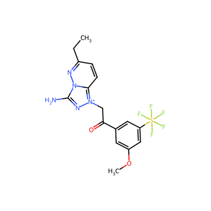 CCc1ccc2n(n1)c(N)n[n+]2CC(=O)c1cc(OC)cc(S(F)(F)(F)(F)F)c1